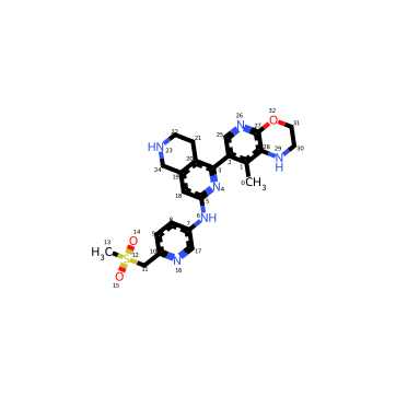 Cc1c(-c2nc(Nc3ccc(CS(C)(=O)=O)nc3)cc3c2CCNC3)cnc2c1NCCO2